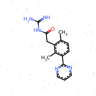 Cc1ccc(-c2ncccn2)c(C)c1CC(=O)NC(=N)N